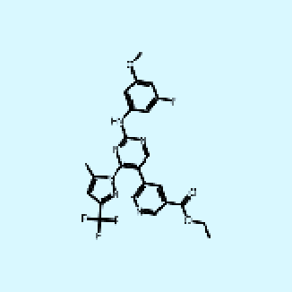 CCOC(=O)c1cncc(-c2cnc(Nc3cc(F)cc(OC)c3)nc2-n2nc(C(F)(F)F)cc2C)c1